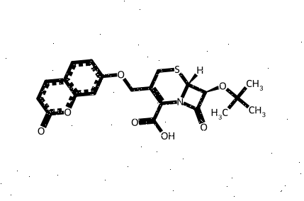 CC(C)(C)O[C@H]1C(=O)N2C(C(=O)O)=C(COc3ccc4ccc(=O)oc4c3)CS[C@H]12